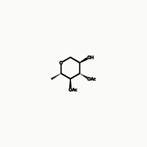 CC(=O)O[C@@H]1[C@@H](OC(C)=O)[C@H](C)OC[C@H]1O